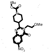 COCCn1c(C2CCN(C(=O)OC(C)(C)C)CC2)nc2ccc([N+](=O)[O-])cc2c1=O